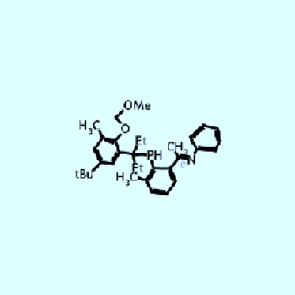 CCC(CC)(Pc1c(C)cccc1/C(C)=N/c1ccccc1)c1cc(C(C)(C)C)cc(C)c1OCOC